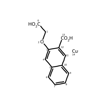 O=C(O)COc1cc2ccccc2cc1C(=O)O.[Cu]